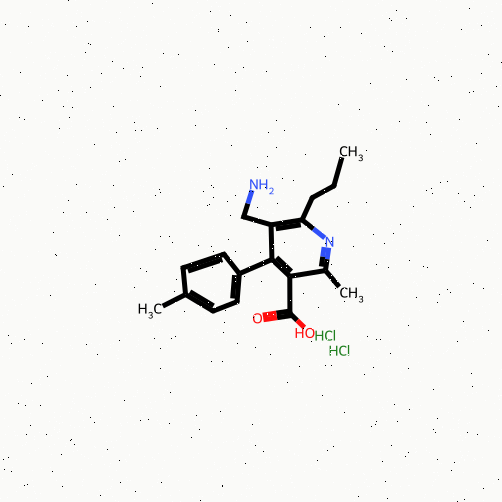 CCCc1nc(C)c(C(=O)O)c(-c2ccc(C)cc2)c1CN.Cl.Cl